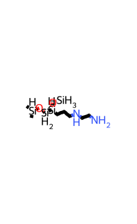 C[SiH](C)O[SiH2][SiH](CCCNCCN)O[SiH3]